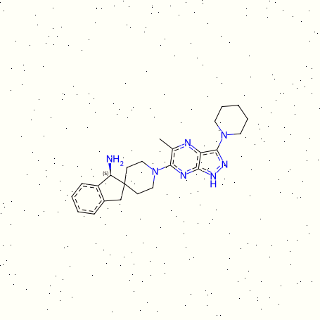 Cc1nc2c(N3CCCCC3)n[nH]c2nc1N1CCC2(CC1)Cc1ccccc1[C@H]2N